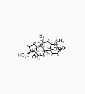 CC1CC2N(C)C(=O)CC[C@]2(C)[C@@H]2CC[C@]3(C)C(C(=O)O)CC[C@H]3[C@H]12